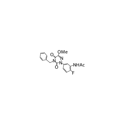 COc1nn(-c2ccc(F)c(NC(C)=O)c2)c(=O)n(Cc2ccccc2)c1=O